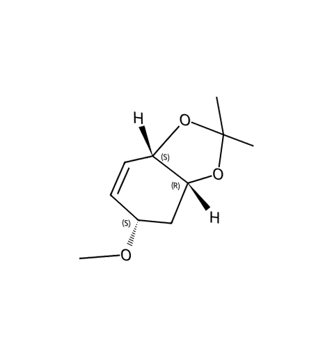 CO[C@@H]1C=C[C@@H]2OC(C)(C)O[C@@H]2C1